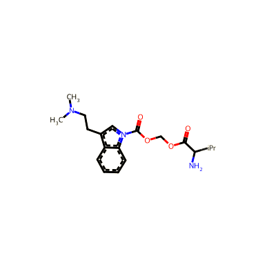 CC(C)C(N)C(=O)OCOC(=O)n1cc(CCN(C)C)c2ccccc21